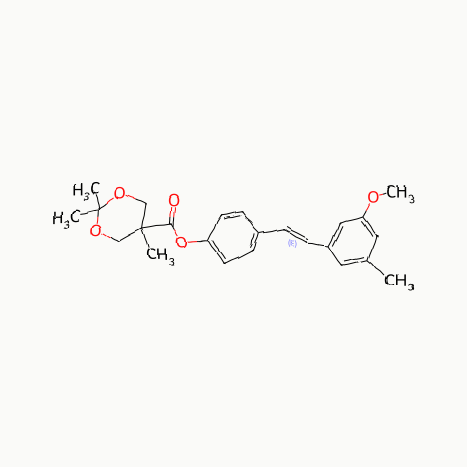 COc1cc(C)cc(/C=C/c2ccc(OC(=O)C3(C)COC(C)(C)OC3)cc2)c1